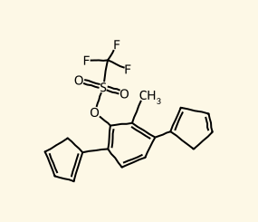 Cc1c(C2=CC=CC2)ccc(C2=CC=CC2)c1OS(=O)(=O)C(F)(F)F